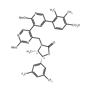 COc1ncc(-c2ccc(C(=O)O)c(C)c2C)cc1-c1cnc(SC)nc1CN1C(=O)O[C@H](c2cc(C(F)(F)F)cc(C(F)(F)F)c2)[C@@H]1C